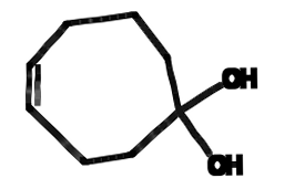 OC1(O)CCC=CCCC1